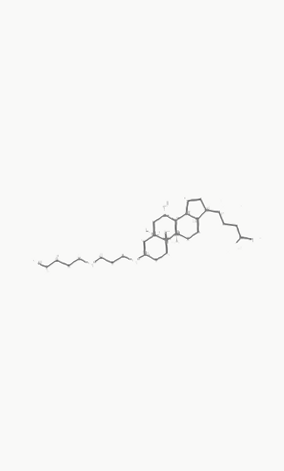 CC(C)C(CC[C@@H](C)C1CCC2C1CC[C@H]1C2[C@H](O)C[C@H]2CC(NCCCNCCCCN)CCC21C)S(=O)(=O)O